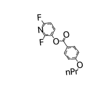 CCCOc1ccc(C(=O)Oc2ccc(F)nc2F)cc1